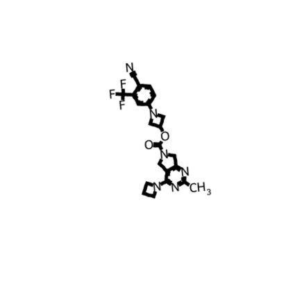 Cc1nc2c(c(N3CCC3)n1)CN(C(=O)OC1CN(c3ccc(C#N)c(C(F)(F)F)c3)C1)C2